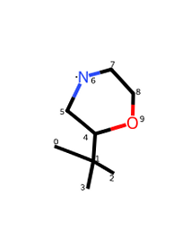 CC(C)(C)C1C[N]CCO1